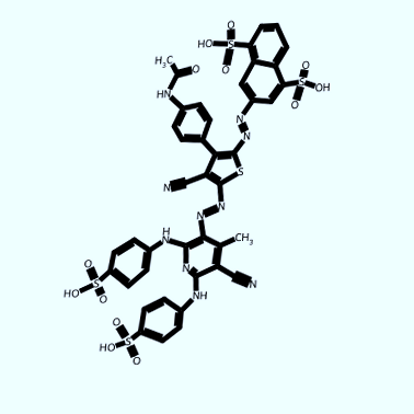 CC(=O)Nc1ccc(-c2c(/N=N/c3cc(S(=O)(=O)O)c4cccc(S(=O)(=O)O)c4c3)sc(N=Nc3c(Nc4ccc(S(=O)(=O)O)cc4)nc(Nc4ccc(S(=O)(=O)O)cc4)c(C#N)c3C)c2C#N)cc1